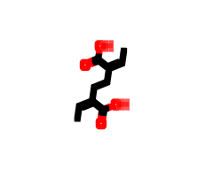 CC=C(CCC(=CC)C(=O)O)C(=O)O